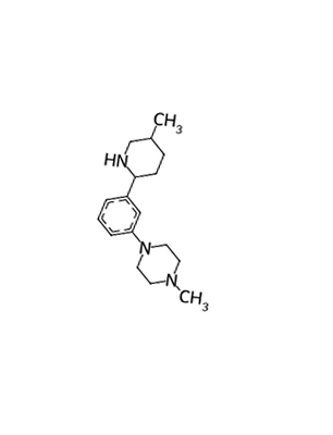 CC1CCC(c2cccc(N3CCN(C)CC3)c2)NC1